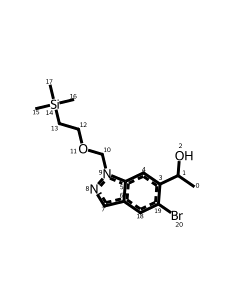 CC(O)c1cc2c(cnn2COCC[Si](C)(C)C)cc1Br